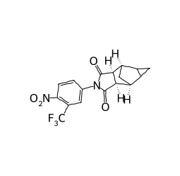 O=C1[C@@H]2[C@H](C(=O)N1c1ccc([N+](=O)[O-])c(C(F)(F)F)c1)[C@H]1C[C@@H]2C2CC21